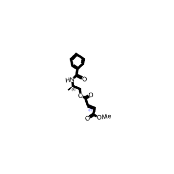 COC(=O)/C=C/C(=O)OC[C@@H](C)NC(=O)c1ccccc1